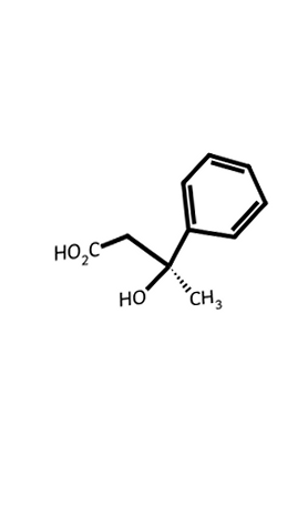 C[C@](O)(CC(=O)O)c1ccccc1